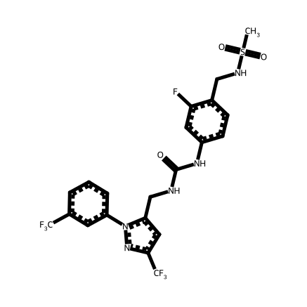 CS(=O)(=O)NCc1ccc(NC(=O)NCc2cc(C(F)(F)F)nn2-c2cccc(C(F)(F)F)c2)cc1F